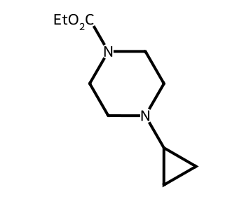 CCOC(=O)N1CCN(C2CC2)CC1